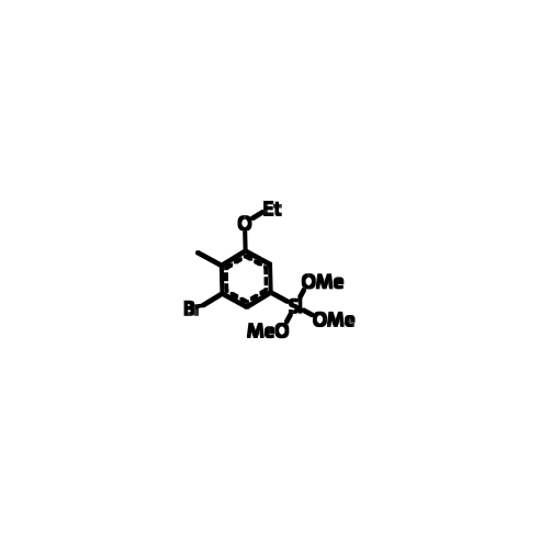 CCOc1cc([Si](OC)(OC)OC)cc(Br)c1C